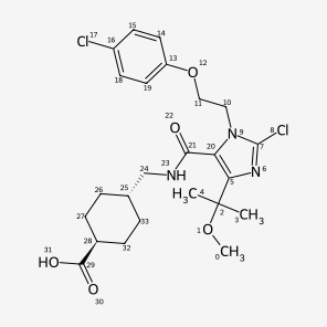 COC(C)(C)c1nc(Cl)n(CCOc2ccc(Cl)cc2)c1C(=O)NC[C@H]1CC[C@H](C(=O)O)CC1